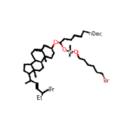 CCCCCCCCCCCCCCCC(OC1CCC2(C)C(=CCC3C2CCC2(C)C(C(C)/C=C/C(CC)C(C)C)CCC32)C1)O[Si](C)(C)OCCCCCCBr